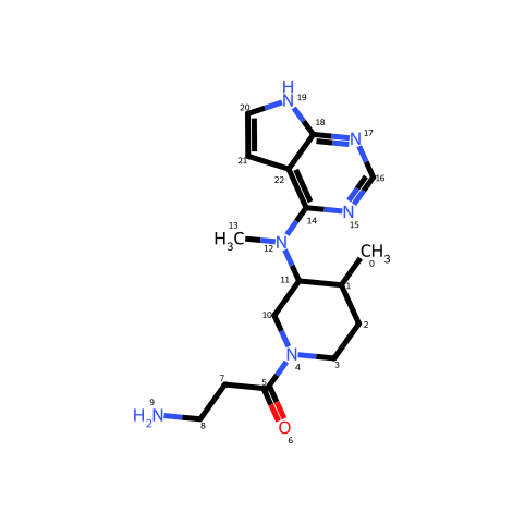 CC1CCN(C(=O)CCN)CC1N(C)c1ncnc2[nH]ccc12